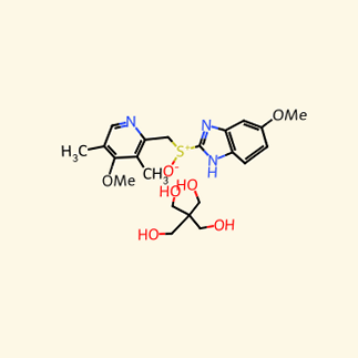 COc1ccc2[nH]c([S+]([O-])Cc3ncc(C)c(OC)c3C)nc2c1.OCC(CO)(CO)CO